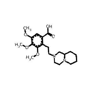 COc1cc(C(=O)O)c(CCN2CCN3CCCCC3C2)c(OC)c1OC